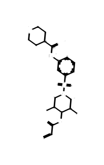 C=CC(=O)NC1C(C)CN(S(=O)(=O)c2cccc(NC(=O)C3CCOCC3)c2)CC1C